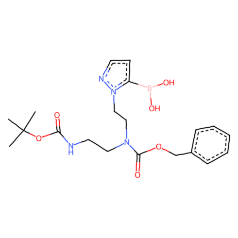 CC(C)(C)OC(=O)NCCN(CCn1nccc1B(O)O)C(=O)OCc1ccccc1